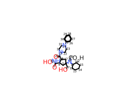 O=C(NO)C1CC(CO)(N(C(=O)O)C2CCCCC2)C[C@@H]1C(=O)N1CCN(c2ccccc2)CC1